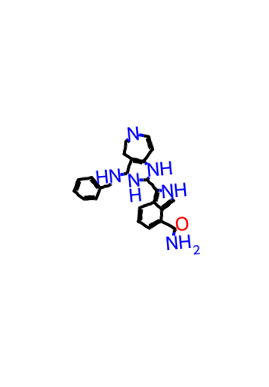 NC(=O)c1cccc2c(C3NC4=C(CC=NC=C4)C(NCc4ccccc4)N3)[nH]cc12